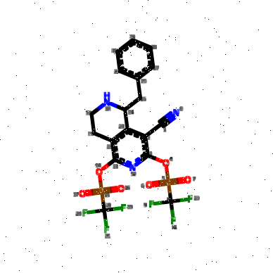 N#Cc1c(OS(=O)(=O)C(F)(F)F)nc(OS(=O)(=O)C(F)(F)F)c2c1C(Cc1ccccc1)NCC2